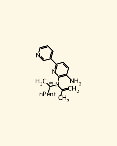 C=C(C)N(c1nc(-c2cccnc2)ccc1N)[C@H](C)CCCCC